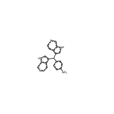 O=[N+]([O-])c1ccc(C(c2c[nH]c3cnccc23)c2c[nH]c3cnccc23)cc1